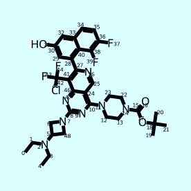 CCN(CC)C1CN(c2nc(N3CCN(C(=O)OC(C)(C)C)CC3)c3cnc(-c4cc(O)cc5ccc(F)c(F)c45)c(C(F)(F)Cl)c3n2)C1